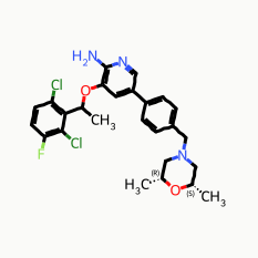 CC(Oc1cc(-c2ccc(CN3C[C@@H](C)O[C@@H](C)C3)cc2)cnc1N)c1c(Cl)ccc(F)c1Cl